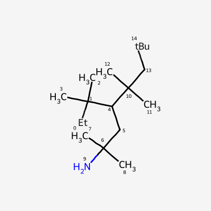 CCC(C)(C)C(CC(C)(C)N)C(C)(C)CC(C)(C)C